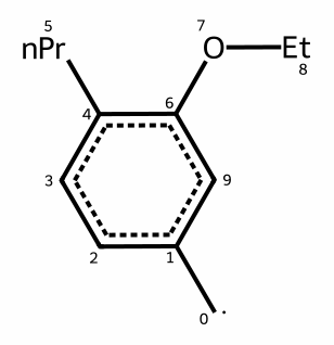 [CH2]c1ccc(CCC)c(OCC)c1